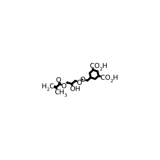 C=C(C)C(=O)OCC(O)COOCC1CC(C(=O)O)CC(C(=O)O)C1